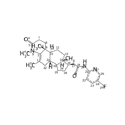 CC1=C2N(C)C(=O)CC[C@]2(C)[C@H]2CC[C@]3(C)[C@@H](CC(=O)Nc4ccc(F)cn4)CC[C@H]3[C@@H]2C1